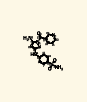 Nc1nc(Nc2ccc(S(N)(=O)=O)cc2)nn1C(=O)c1cccnc1